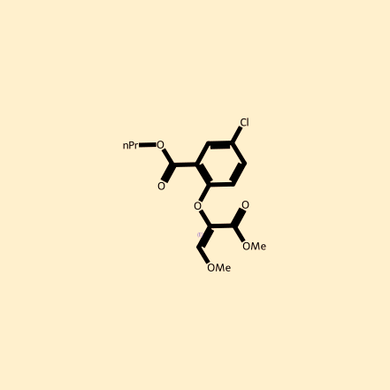 CCCOC(=O)c1cc(Cl)ccc1O/C(=C/OC)C(=O)OC